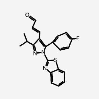 CC(C)c1nn(-c2nc3ccccc3s2)c(-c2ccc(F)cc2)c1C=CC=O